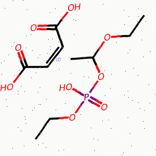 CCOC(C)OP(=O)(O)OCC.O=C(O)/C=C\C(=O)O